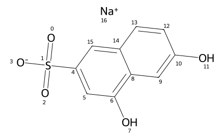 O=S(=O)([O-])c1cc(O)c2cc(O)ccc2c1.[Na+]